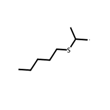 [CH2]C(C)SCCCCC